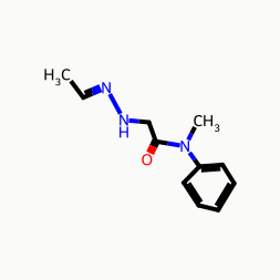 C/C=N/NCC(=O)N(C)c1ccccc1